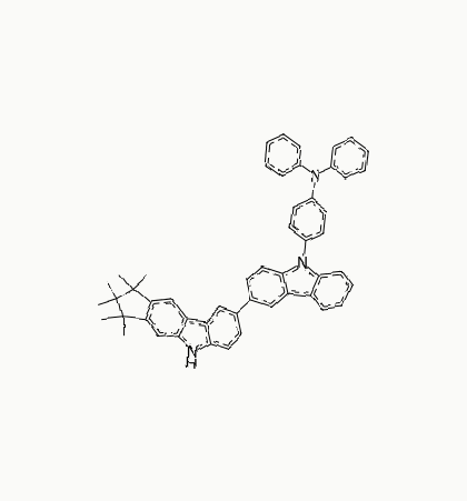 CC1(C)c2cc3[nH]c4ccc(-c5ccc6c(c5)c5ccccc5n6-c5ccc(N(c6ccccc6)c6ccccc6)cc5)cc4c3cc2C(C)(C)C1(C)C